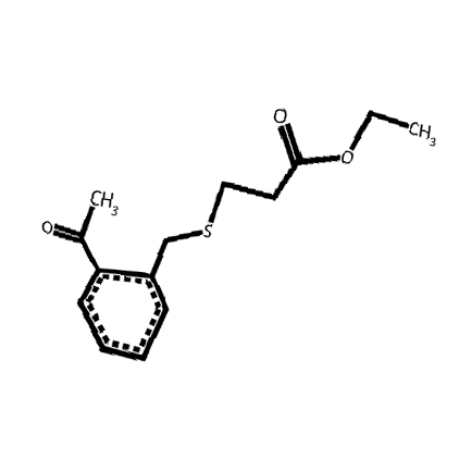 CCOC(=O)CCSCc1ccccc1C(C)=O